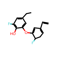 C=CC1=CCC(F)C(Oc2cc(CC)cc(F)c2O)=C1